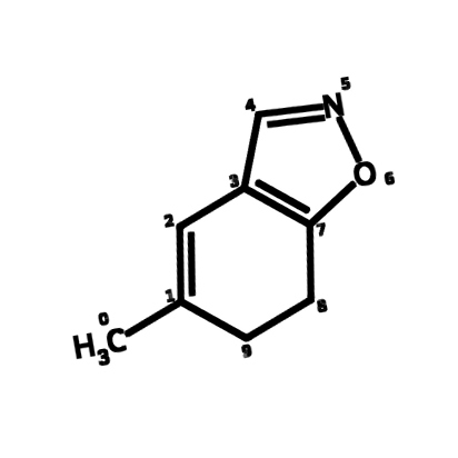 CC1=Cc2cnoc2CC1